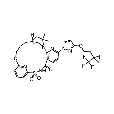 CC1(C)C[C@H]2CCCOc3cccc(n3)S(=O)(=O)NC(=O)c3ccc(-n4ccc(OCCC5(C(F)(F)F)CC5)n4)nc3N1C2